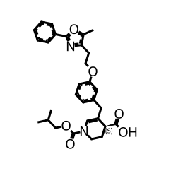 Cc1oc(-c2ccccc2)nc1CCOc1cccc(CC2=CN(C(=O)OCC(C)C)CC[C@@H]2C(=O)O)c1